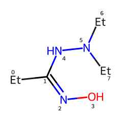 CCC(=NO)NN(CC)CC